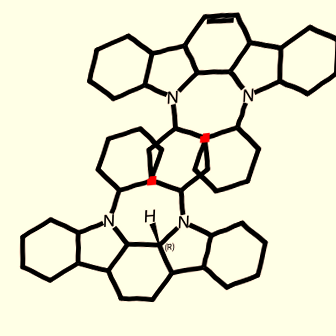 C1=CC2C3CCCCC3N(C3CCC(N4C5CCCCC5C5CCC6C7CCCCC7N(C7CCCCC7)C6[C@@H]54)CC3)C2C2C1C1CCCCC1N2C1CCCCC1